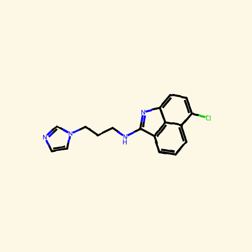 Clc1ccc2c3c(cccc13)C(NCCCn1ccnc1)=N2